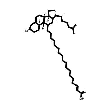 CC(C)CCC[C@@H](C)[C@H]1CC[C@H]2[C@@H]3CC=C4C[C@@H](O)CC[C@]4(C)[C@H]3C(CCCCCCCCCCCCCCC/C=C/C(=O)O)C[C@]12C